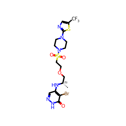 C[C@@H](COCCS(=O)(=O)N1CCN(c2ncc(C(F)(F)F)s2)CC1)Nc1cn[nH]c(=O)c1Br